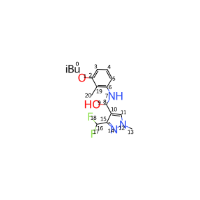 CCC(C)Oc1cccc(NC(O)c2cn(C)nc2C(F)F)c1C